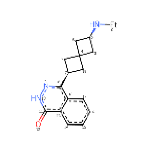 CCN[C@H]1CC2(C1)C[C@H](c1n[nH]c(=O)c3ccccc31)C2